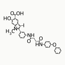 Cn1c(-c2cccc(NC(=O)CCC(=O)Nc3ccc(Oc4ccccc4)cc3)c2)c(I)c2cc(C(=O)O)c(O)cc21